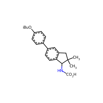 CC(C)COc1ccc(-c2ccc3c(c2)CC(C)(C)C3NC(=O)O)cc1